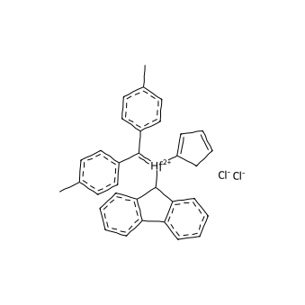 Cc1ccc([C](c2ccc(C)cc2)=[Hf+2]([C]2=CC=CC2)[CH]2c3ccccc3-c3ccccc32)cc1.[Cl-].[Cl-]